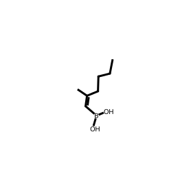 CCCCC(C)=CB(O)O